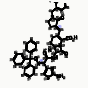 Nc1nc(/C(=N/OC(c2ccccc2)(c2ccccc2)c2ccccc2)C(=O)N[C@@H]2C(=O)N3C(C(=O)O)=C(/C=C4\CCN(Cc5ccccc5F)C4=O)CS[C@H]23)cs1